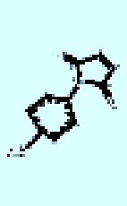 CC(=O)Oc1ccc(N2C(=O)C=CC2=O)cc1